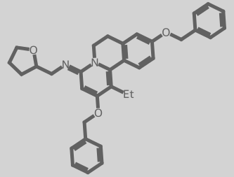 CCc1c(OCc2ccccc2)c/c(=N\CC2CCCO2)n2c1-c1ccc(OCc3ccccc3)cc1CC2